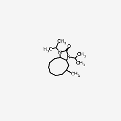 CC1CCCCCCC2C(C1)N(C(C)C)C(=O)N2C(C)C